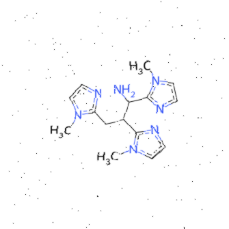 Cn1ccnc1CC(c1nccn1C)C(N)c1nccn1C